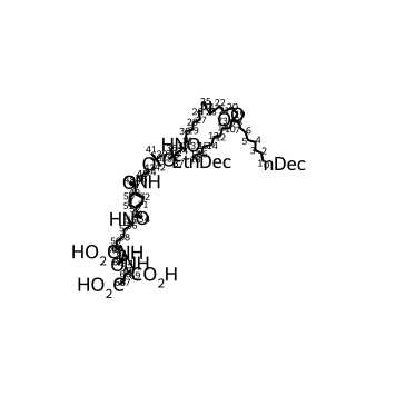 CCCCCCCCCCCCCCCCCCC1(CCCCCCCCCCCCCCCCCC)OCC(CCN(C)CCCCCC(=O)NCC(C)(CC)OCC(C)(C)OCCNC(=O)c2ccc(C(=O)NCCCC[C@H](NC(=O)N[C@@H](CCC(=O)O)C(=O)O)C(=O)O)cc2)O1